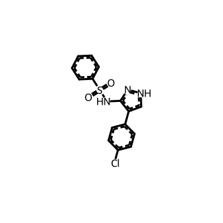 O=S(=O)(Nc1n[nH]cc1-c1ccc(Cl)cc1)c1ccccc1